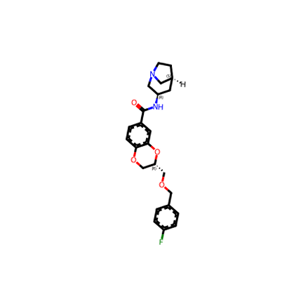 O=C(N[C@@H]1C[C@@H]2CCN(C2)C1)c1ccc2c(c1)O[C@H](COCc1ccc(F)cc1)CO2